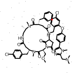 COC[C@H]1C(=O)N(C)[C@@H](Cc2ccc(Cl)cc2)CC(=O)NC[C@H](C)N(C)C(=O)[C@H](Cc2ccccc2)CC(=O)N(Cc2ccc(Cl)cc2Oc2ccc(-c3cnc(CN(C)C)n3C)cc2)[C@H]2CC(=O)N1C2=O